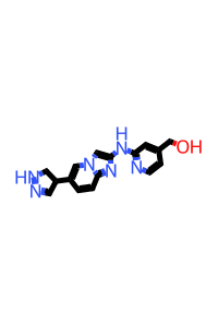 OCc1ccnc(Nc2cn3cc(C4C=NNC4)ccc3n2)c1